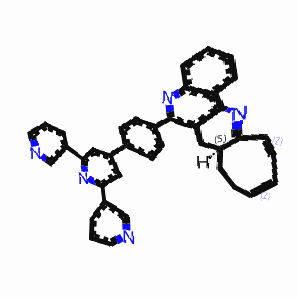 C1=C\CC[C@H]2Cc3c(-c4ccc(-c5cc(-c6cccnc6)nc(-c6cccnc6)c5)cc4)nc4ccccc4c3N=C2\C=C/1